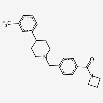 O=C(c1ccc(CN2CCC(c3cccc(C(F)(F)F)c3)CC2)cc1)N1CCC1